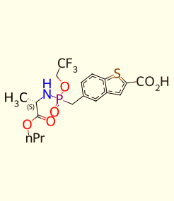 CCCOC(=O)[C@H](C)NP(=O)(Cc1ccc2sc(C(=O)O)cc2c1)OCC(F)(F)F